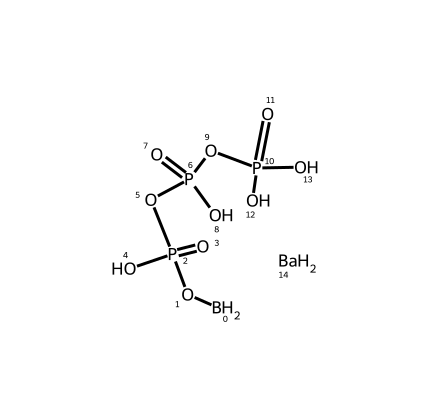 BOP(=O)(O)OP(=O)(O)OP(=O)(O)O.[BaH2]